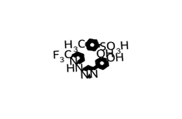 Cc1ccc(S(=O)(=O)O)cc1.Oc1ccc(-c2cc(Nc3cccc(C(F)(F)F)n3)ncn2)cc1O